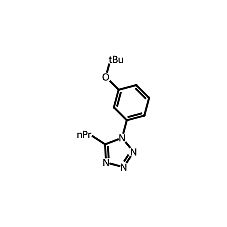 CCCc1nnnn1-c1cccc(OC(C)(C)C)c1